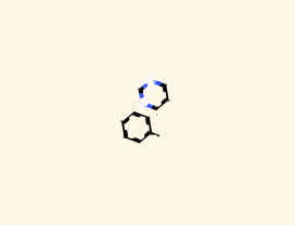 CC(=O)c1ccccc1.c1cncnc1